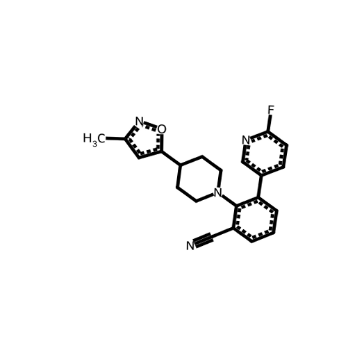 Cc1cc(C2CCN(c3c(C#N)cccc3-c3ccc(F)nc3)CC2)on1